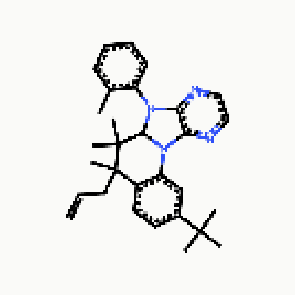 C=CCC1(C)c2ccc(C(C)(C)C)cc2N2c3nccnc3N(c3ccccc3C)C2C1(C)C